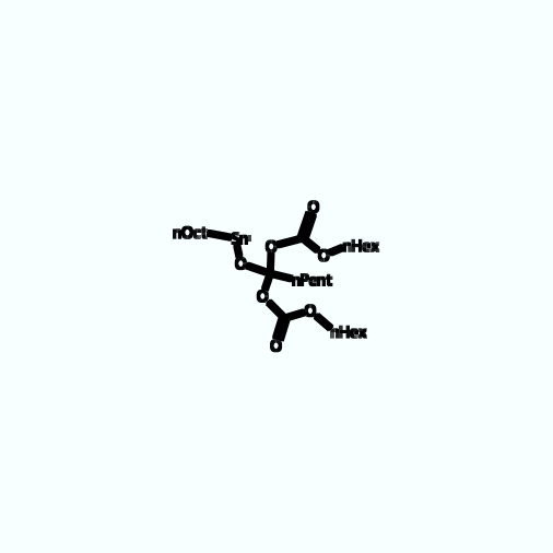 CCCCCCC[CH2][Sn][O]C(CCCCC)(OC(=O)OCCCCCC)OC(=O)OCCCCCC